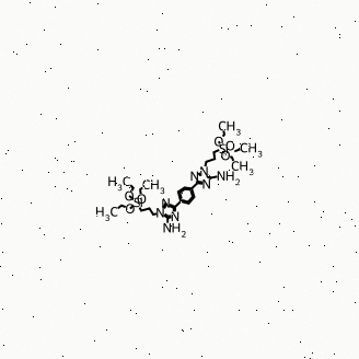 CCO[Si](CCCn1nc(-c2ccc(-c3nc(N)n(CCC[Si](OCC)(OCC)OCC)n3)cc2)nc1N)(OCC)OCC